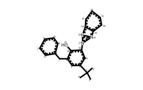 CC(C)(C)c1cc(Cc2ccccc2)c(O)c(-n2n3c4ccccc4n23)c1